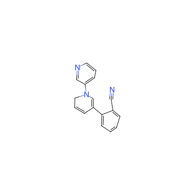 N#Cc1ccccc1C1=CN(c2cccnc2)CC=C1